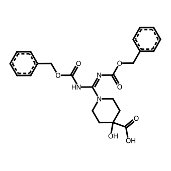 O=C(N=C(NC(=O)OCc1ccccc1)N1CCC(O)(C(=O)O)CC1)OCc1ccccc1